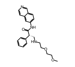 COCCOCCNC[C@@H](C(=O)Nc1ccc2cnccc2c1)c1ccccc1